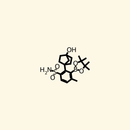 Cc1ccc(S(N)(=O)=O)c(C23CCC(O)(CC2)C3)c1B1OC(C)(C)C(C)(C)O1